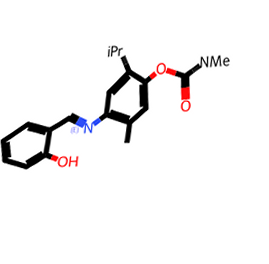 CNC(=O)Oc1cc(C)c(/N=C/c2ccccc2O)cc1C(C)C